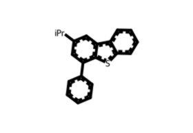 CC(C)c1cc(-c2ccccc2)c2sc3ccccc3c2c1